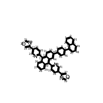 c1ccc2c(-c3ccc(-c4ccc5c(-c6ccc(-c7cocn7)cn6)c6ccccc6c(-c6ccc(-c7cocn7)cn6)c5c4)cc3)cccc2c1